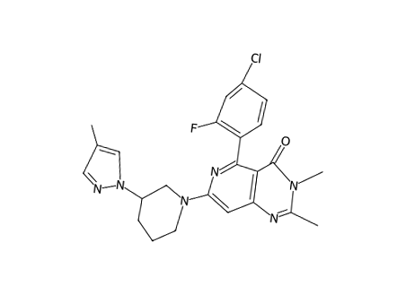 Cc1cnn(C2CCCN(c3cc4nc(C)n(C)c(=O)c4c(-c4ccc(Cl)cc4F)n3)C2)c1